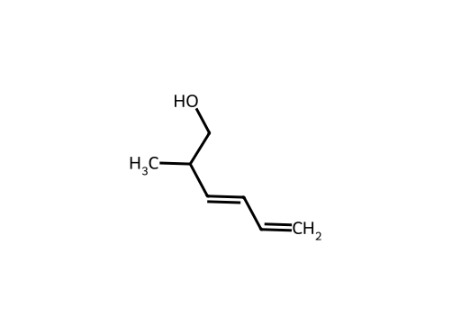 C=CC=CC(C)CO